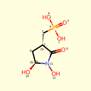 O=C1[C@@H](CP(=O)(O)O)C[C@H](O)N1O